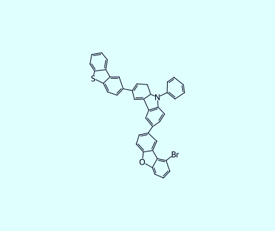 Brc1cccc2oc3ccc(-c4ccc5c(c4)C4=CC(c6ccc7sc8ccccc8c7c6)=CCC4N5c4ccccc4)cc3c12